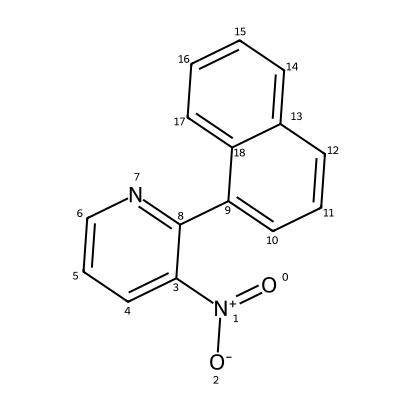 O=[N+]([O-])c1cccnc1-c1cccc2ccccc12